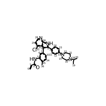 C=CC(=O)Nc1cc(-c2c(-c3ccc(N4CCN(C(C)C)CC4)cc3)[nH]c3nccc(Cl)c23)ccc1C